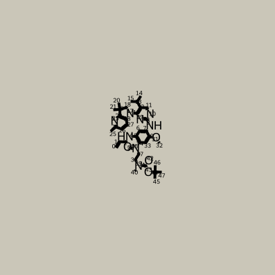 C=CC(=O)Nc1cc(Nc2ncc(C(C)C)c(N3CC(C)(C)c4nc(C)ccc43)n2)c(OC)cc1N(C)CCN(C)C(=O)OC(C)(C)C